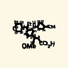 CC[C@H](c1ccc(C(COC)CC(=O)O)cc1Nc1ccc(C#N)cc1)N1CCOCC1